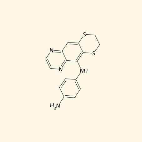 Nc1ccc(Nc2c3c(cc4nccnc24)SCCS3)cc1